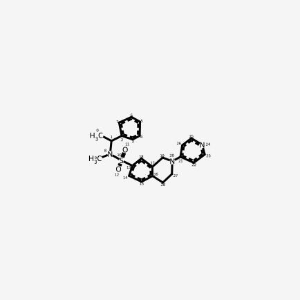 CC(c1ccccc1)N(C)S(=O)(=O)c1ccc2c(c1)CN(c1ccncc1)CC2